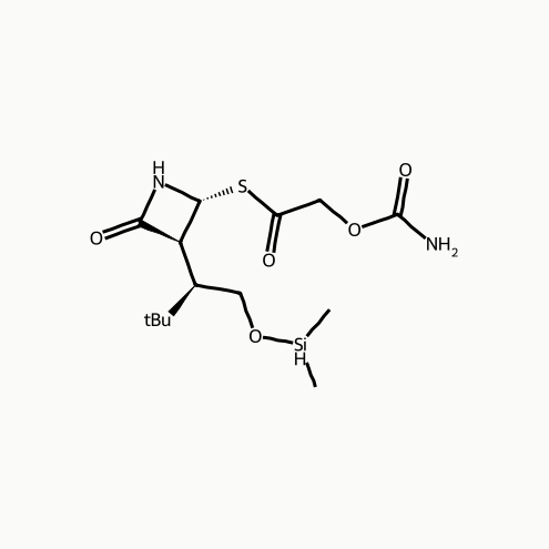 C[SiH](C)OC[C@H]([C@H]1C(=O)N[C@@H]1SC(=O)COC(N)=O)C(C)(C)C